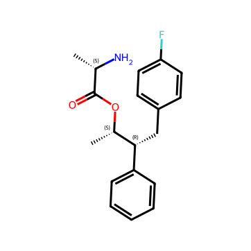 C[C@H](N)C(=O)O[C@@H](C)[C@H](Cc1ccc(F)cc1)c1ccccc1